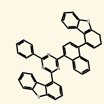 C1=C(c2ccc(-c3nc(-c4ccccc4)nc(-c4cccc5sc6ccccc6c45)n3)c3ccccc23)c2c(oc3ccccc23)CC1